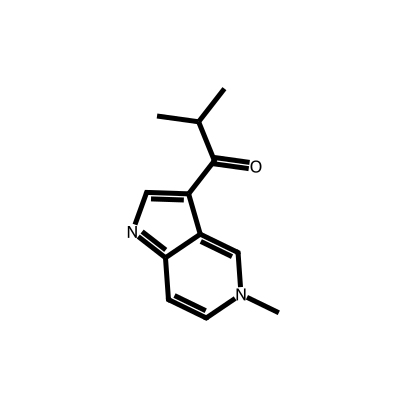 CC(C)C(=O)c1cnc2ccn(C)cc1-2